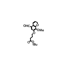 COc1c(OCCCC(=O)OC(C)(C)C)cc(C=O)c2c1OCC=C2